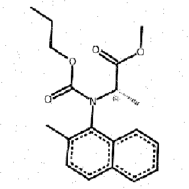 CCCOC(=O)N(c1c(C)ccc2ccccc12)[C@@H](C)C(=O)OC